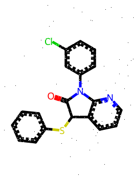 O=C1C(Sc2ccccc2)c2cccnc2N1c1cccc(Cl)c1